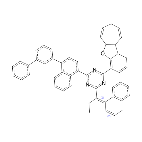 C/C=C\C(=C(/CC)c1nc(C2=C3OC4=C(C=CCC=C4)C3CC=C2)nc(-c2ccc(-c3cccc(-c4ccccc4)c3)c3ccccc23)n1)c1ccccc1